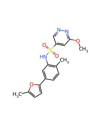 COc1cc(S(=O)(=O)Nc2cc(-c3ccc(C)o3)ccc2C)cnn1